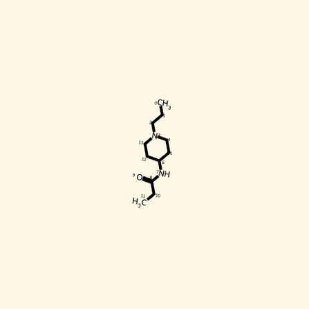 CCCN1CCC(NC(=O)CC)CC1